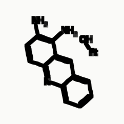 CCO.Nc1ccc2nc3ccccc3cc2c1N